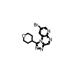 Brc1cnc2ncc3nnc(C4CCOCC4)n3c2c1